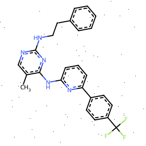 Cc1cnc(NCCc2ccccc2)nc1Nc1cccc(-c2ccc(C(F)(F)F)cc2)n1